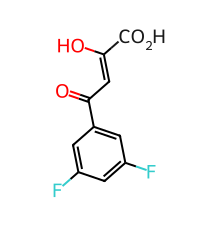 O=C(O)C(O)=CC(=O)c1cc(F)cc(F)c1